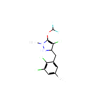 CN1NC(Cc2cc([N+](=O)[O-])cc(Cl)c2Cl)C(Cl)=C1OC(F)F